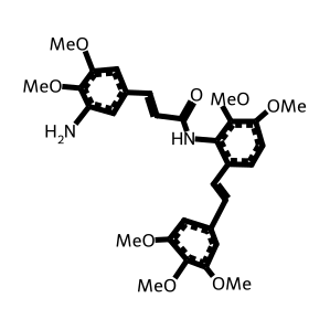 COc1cc(/C=C/C(=O)Nc2c(C=Cc3cc(OC)c(OC)c(OC)c3)ccc(OC)c2OC)cc(N)c1OC